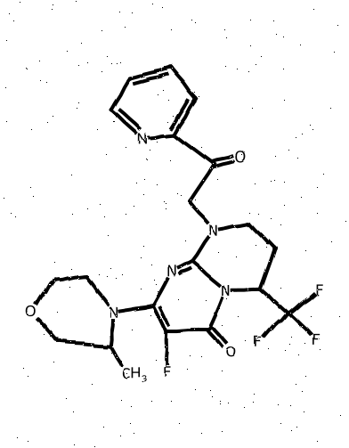 CC1COCCN1c1nc2n(c(=O)c1F)C(C(F)(F)F)CCN2CC(=O)c1ccccn1